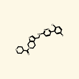 O=C(C1CCOCC1)N1CCc2c(CNc3ccc(-c4cc(F)ccc4Cl)nn3)csc2C1